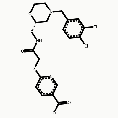 O=C(CSc1ccc(C(=O)O)cn1)NC[C@H]1CN(Cc2ccc(Cl)c(Cl)c2)CCO1